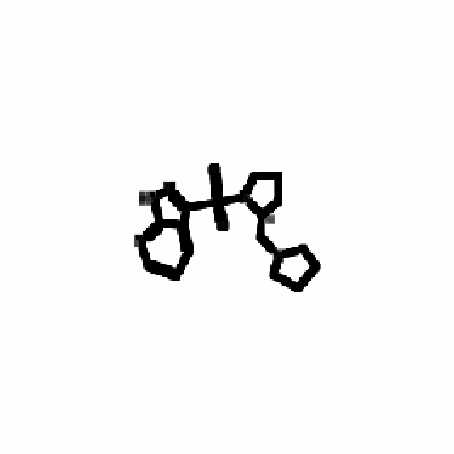 O=S(=O)(c1n[nH]c2ncccc12)N1CCC[C@H]1CN1CCCC1